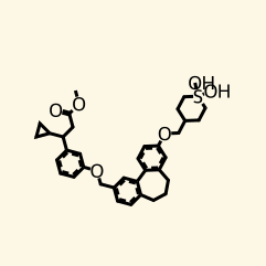 COC(=O)CC(c1cccc(OCc2ccc3c(c2)-c2ccc(OCC4CCS(O)(O)CC4)cc2CCC3)c1)C1CC1